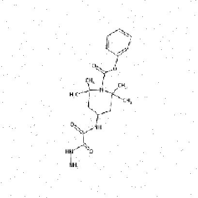 CC1(C)CC(NC(=O)C(=O)NN)CC(C)(C)N1C(=O)Oc1ccccc1